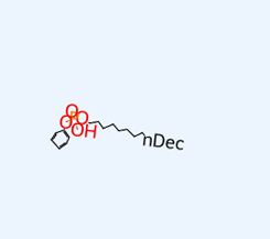 CCCCCCCCCCCCCCCCCCOP(=O)(O)Oc1ccccc1